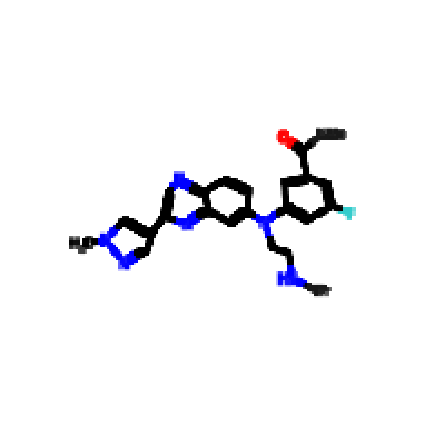 CNC(=O)c1cc(F)cc(N(CCNC(C)C)c2ccc3ncc(-c4cnn(C)c4)nc3c2)c1